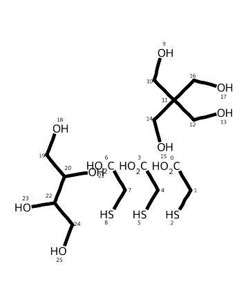 O=C(O)CS.O=C(O)CS.O=C(O)CS.OCC(CO)(CO)CO.OCC(O)C(O)CO